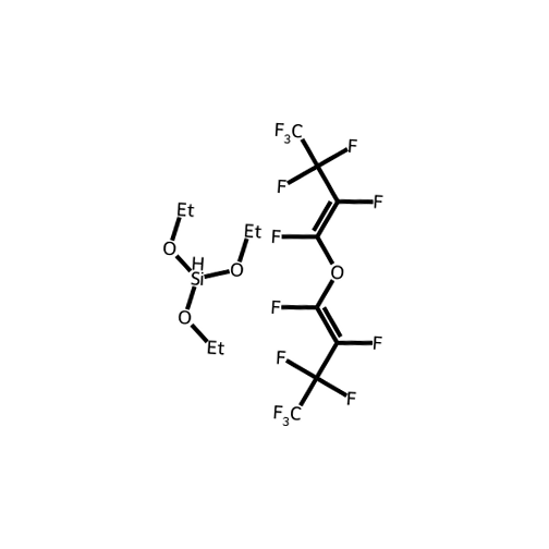 CCO[SiH](OCC)OCC.FC(OC(F)=C(F)C(F)(F)C(F)(F)F)=C(F)C(F)(F)C(F)(F)F